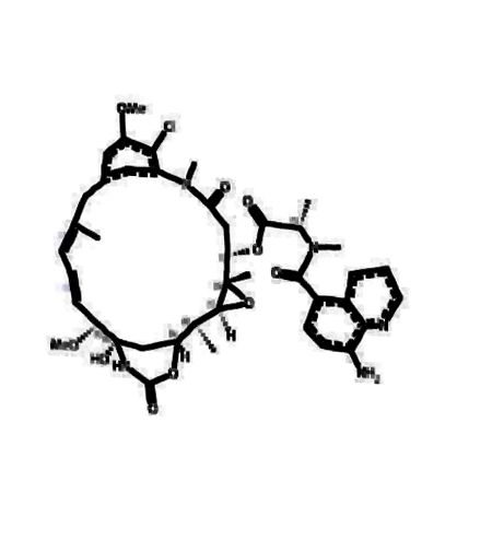 COc1cc2cc(c1Cl)N(C)C(=O)C[C@H](OC(=O)[C@H](C)N(C)C(=O)c1ccc(N)c3ncccc13)[C@]1(C)O[C@H]1[C@H](C)[C@@H]1C[C@@](O)(NC(=O)O1)[C@H](OC)/C=C/C=C(\C)C2